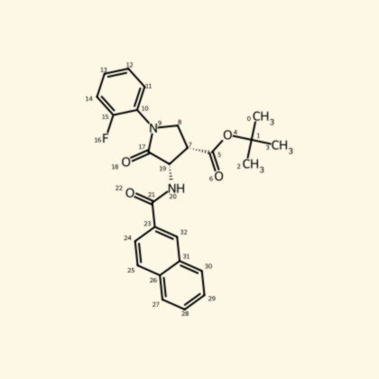 CC(C)(C)OC(=O)[C@H]1CN(c2ccccc2F)C(=O)[C@H]1NC(=O)c1ccc2ccccc2c1